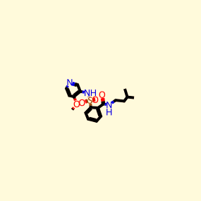 COc1ccncc1NS(=O)(=O)c1ccccc1C(=O)NCCC(C)C